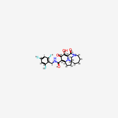 O=C(NCc1c(F)cc(F)cc1F)c1c2n3c(c(O)c1=O)C(=O)N1CCCC[C@]3(CC2)C1